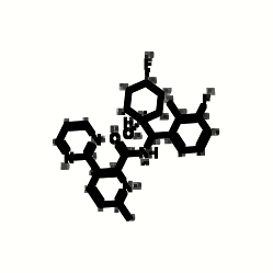 Cc1ccc(-c2ncccn2)c(C(=O)NC(c2cccc(F)c2C)[C@]2(O)CC[C@@H](F)CC2)n1